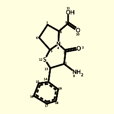 NC1C(=O)N2C(CCC2C(=O)O)SC1c1ccccc1